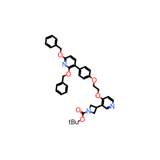 CC(C)(C)OC(=O)N1CC(c2cnccc2OCCOc2ccc(-c3ccc(OCc4ccccc4)nc3OCc3ccccc3)cc2)C1